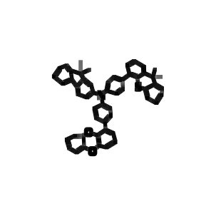 CC1(C)c2ccccc2-c2ccc(N(c3ccc(-c4cccc5c4Oc4ccccc4O5)cc3)c3ccc(-c4cccc5c4Sc4ccccc4C5(C)C)cc3)cc21